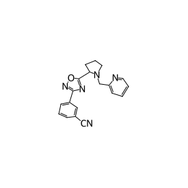 N#Cc1cccc(-c2noc(C3CCCN3Cc3ccccn3)n2)c1